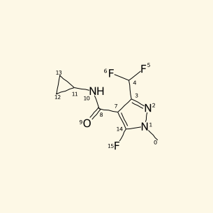 Cn1nc(C(F)F)c(C(=O)NC2CC2)c1F